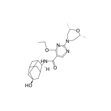 CCOc1nc(N2C[C@@H](C)O[C@@H](C)C2)ncc1C(=O)N[C@H]1C2CC3CC1C[C@@](O)(C3)C2